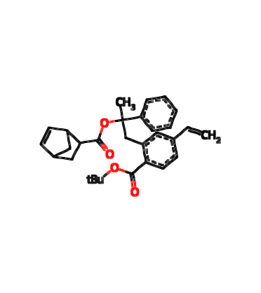 C=Cc1ccc(C(=O)OC(C)(C)C)c(CC(C)(OC(=O)C2CC3C=CC2C3)c2ccccc2)c1